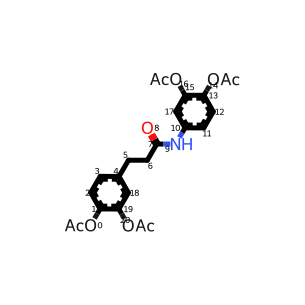 CC(=O)Oc1ccc(CCC(=O)Nc2ccc(OC(C)=O)c(OC(C)=O)c2)cc1OC(C)=O